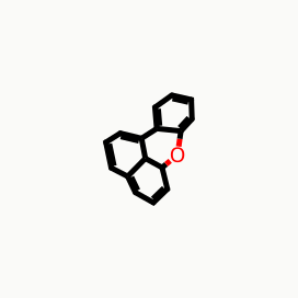 C1=CC2=CC=CC3Oc4ccccc4C(=C1)C23